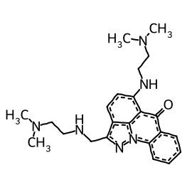 CN(C)CCNCc1nn2c3ccccc3c(=O)c3c(NCCN(C)C)ccc1c32